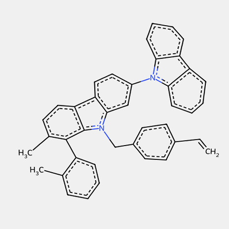 C=Cc1ccc(Cn2c3cc(-n4c5ccccc5c5ccccc54)ccc3c3ccc(C)c(-c4ccccc4C)c32)cc1